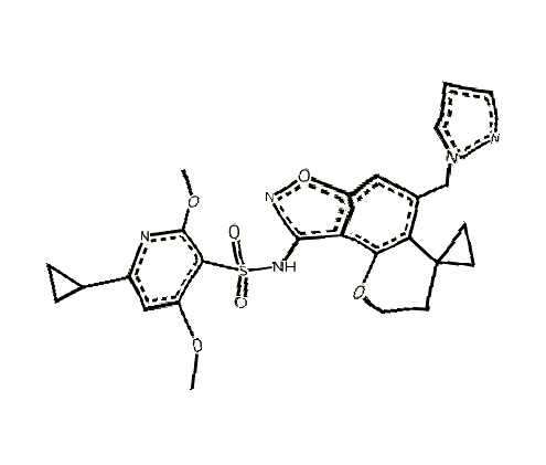 COc1cc(C2CC2)nc(OC)c1S(=O)(=O)Nc1noc2cc(Cn3cccn3)c3c(c12)OCCC31CC1